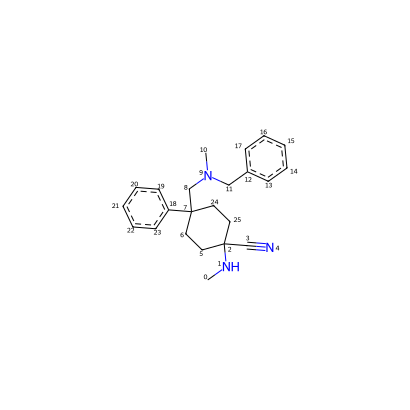 CNC1(C#N)CCC(CN(C)Cc2ccccc2)(c2ccccc2)CC1